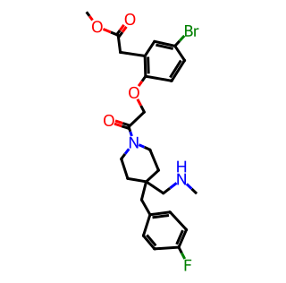 CNCC1(Cc2ccc(F)cc2)CCN(C(=O)COc2ccc(Br)cc2CC(=O)OC)CC1